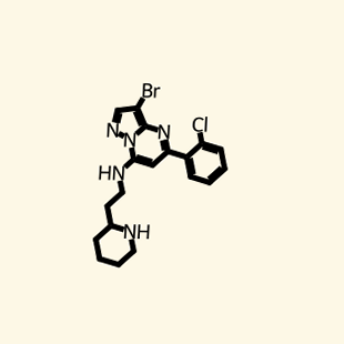 Clc1ccccc1-c1cc(NCCC2CCCCN2)n2ncc(Br)c2n1